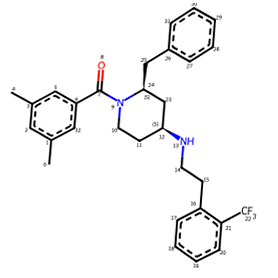 Cc1cc(C)cc(C(=O)N2CC[C@H](NCCc3ccccc3C(F)(F)F)C[C@@H]2Cc2ccccc2)c1